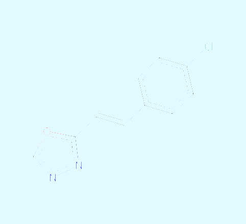 Clc1ccc(C=Cc2nnco2)cc1